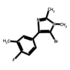 Cc1cc(-c2nc(C)n(C)c2Br)ccc1F